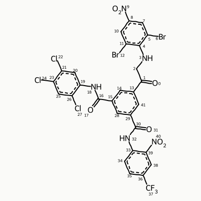 O=C(CNc1c(Br)cc([N+](=O)[O-])cc1Br)c1cc(C(=O)Nc2cc(Cl)c(Cl)cc2Cl)cc(C(=O)Nc2ccc(C(F)(F)F)cc2[N+](=O)[O-])c1